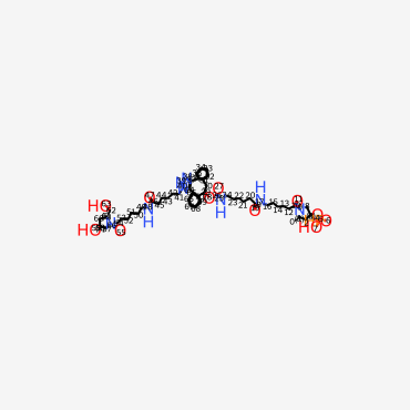 C[C@@H]1C[C@@H](O[PH](=O)O)CN1C(=O)CCCCCNC(=O)CCCCCNC(=O)OC1Cc2ccccc2-c2nnn(CCCCCC(=O)NCCCCCC(=O)N3C[C@H](O)C[C@H]3CO)c2-c2ccccc21